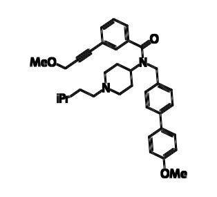 COCC#Cc1cccc(C(=O)N(Cc2ccc(-c3ccc(OC)cc3)cc2)C2CCN(CCC(C)C)CC2)c1